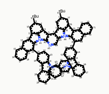 CC(C)(C)c1cc2c3c4c5cc(C(C)(C)C)cc6c7cc8ccccc8c(-c8ccc9c(c8)c8ccccc8n9-c8ccccc8)c7n(c4ncc3n3c4c(-c7ccc8c(c7)c7ccccc7n8-c7ccccc7)cc7ccccc7c4c(c1)c23)c65